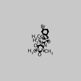 COc1cc(Br)ccc1CS(=O)(=O)c1nc2c(c(=O)n(C)c(=O)n2C)n1C